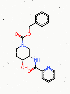 O=C(N[C@H]1CN(C(=O)OCc2ccccc2)CC[C@@H]1O)c1ccccn1